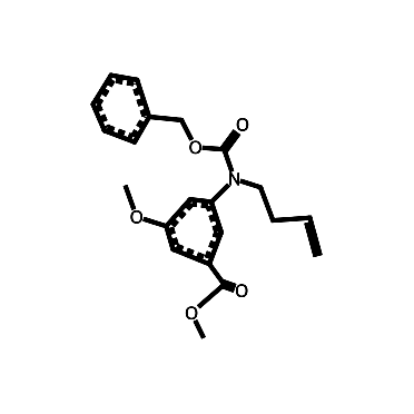 C=CCCN(C(=O)OCc1ccccc1)c1cc(OC)cc(C(=O)OC)c1